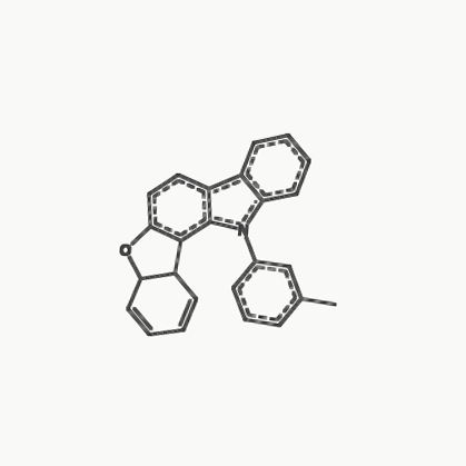 Cc1cccc(-n2c3ccccc3c3ccc4c(c32)C2C=CC=CC2O4)c1